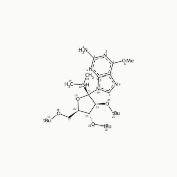 COc1nc(N)nc2c1ncn2[C@@]1([SiH](C)C)O[C@H](COC(C)(C)C)[C@@H](OC(C)(C)C)[C@@H]1OC(C)(C)C